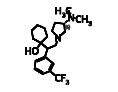 CN(C)[C@H]1CCN(CC(c2cccc(C(F)(F)F)c2)C2(O)CCCCC2)C1